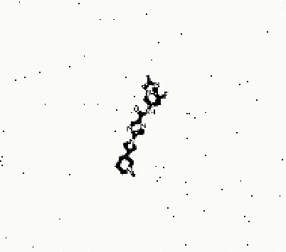 Cc1cn2cc(NC(=O)c3cnc(N4CC(C5CCCN(C)C5)C4)cn3)cc(F)c2n1